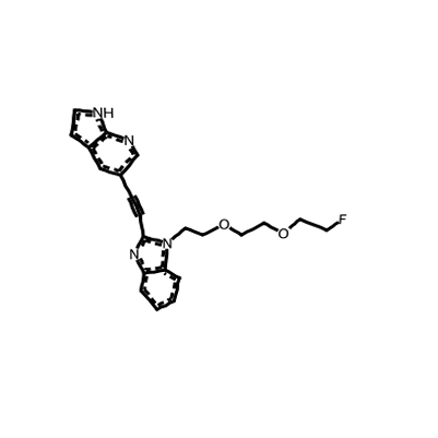 FCCOCCOCCn1c(C#Cc2cnc3[nH]ccc3c2)nc2ccccc21